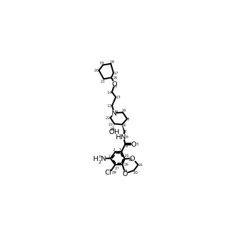 Nc1cc(C(=O)NC[C@@H]2CCN(CCCOC3CCCCC3)C[C@H]2O)c2c(c1Cl)OCCO2